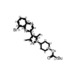 Cc1nn(C2CCN(OC(=O)C(C)(C)C)CC2)c(C)c1-c1cnc2cccc(Br)c2n1